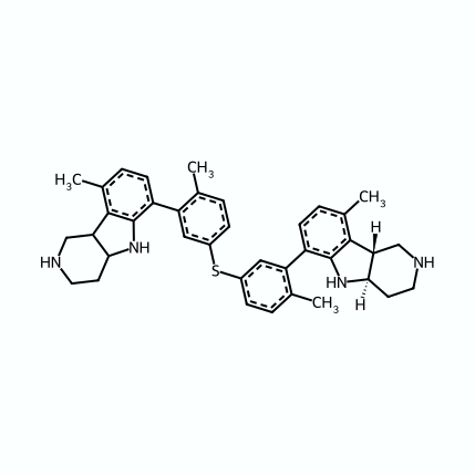 Cc1ccc(Sc2ccc(C)c(-c3ccc(C)c4c3N[C@@H]3CCNC[C@@H]43)c2)cc1-c1ccc(C)c2c1NC1CCNCC21